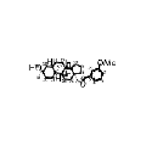 COc1cccc(C(=O)[C@H]2CC[C@H]3[C@@H]4CC[C@H]5C[C@](C)(O)CC[C@]5(C)[C@H]4CC[C@]23C)c1